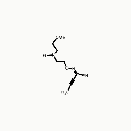 CC#C/C(S)=N\OCCN(CC)CCOC